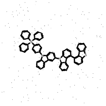 c1ccc([Si](c2ccccc2)(c2ccccc2)c2ccc(-n3c4ccccc4c4cc(-n5c6ccccc6c6c(-c7cccc8sc9ccccc9c78)cccc65)ccc43)cc2)cc1